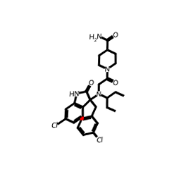 CCC(CC)N(CC(=O)N1CCC(C(N)=O)CC1)C1(Cc2cccc(Cl)c2)C(=O)Nc2cc(Cl)ccc21